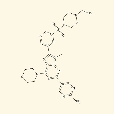 C[C](C)CN1CCN(S(=O)(=O)c2cccc(-c3sc4c(N5CCOCC5)nc(-c5cnc(N)nc5)nc4c3C)c2)CC1